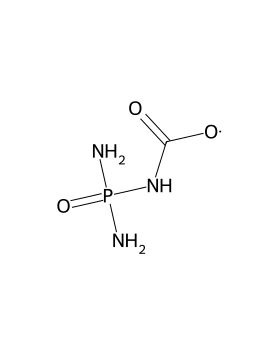 NP(N)(=O)NC([O])=O